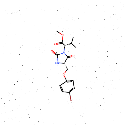 COC(=O)[C@@H](C(C)C)N1C(=O)N[C@@H](COc2ccc(Br)cc2)C1=O